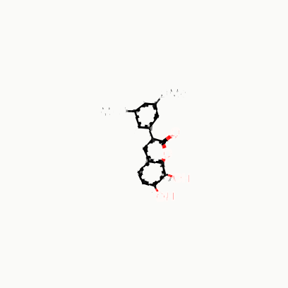 COc1cc(OC)cc(-c2cc3ccc(O)c(O)c3oc2=O)c1